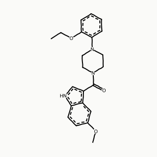 CCOc1ccccc1N1CCN(C(=O)c2c[nH]c3ccc(OC)cc23)CC1